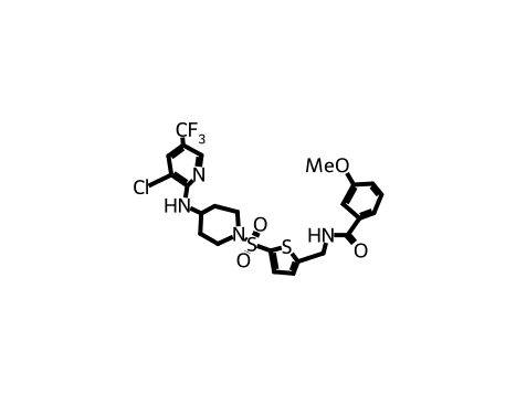 COc1cccc(C(=O)NCc2ccc(S(=O)(=O)N3CCC(Nc4ncc(C(F)(F)F)cc4Cl)CC3)s2)c1